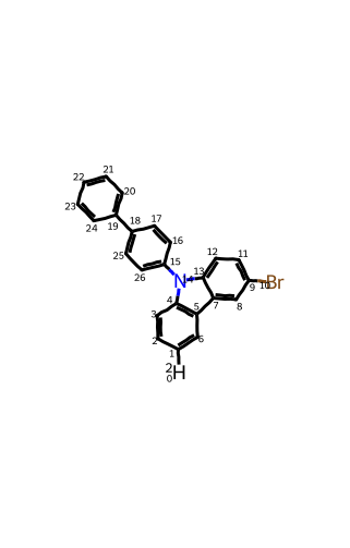 [2H]c1ccc2c(c1)c1cc(Br)ccc1n2-c1ccc(-c2ccccc2)cc1